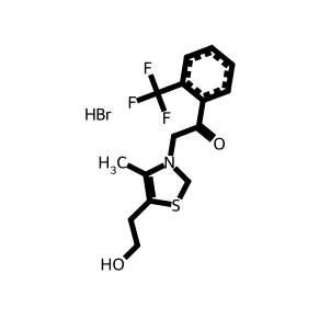 Br.CC1=C(CCO)SCN1CC(=O)c1ccccc1C(F)(F)F